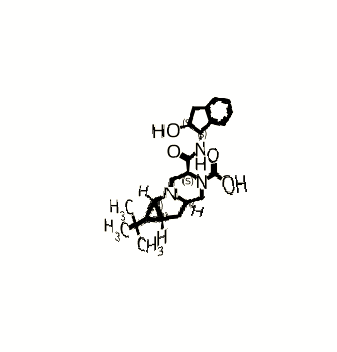 CC(C)(C)C1[C@H]2C[C@@H]3CN(C(=O)O)[C@H](C(=O)N[C@H]4c5ccccc5C[C@@H]4O)CN3[C@@H]12